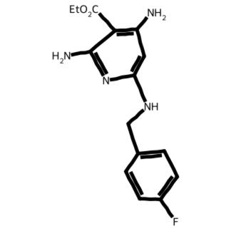 CCOC(=O)c1c(N)cc(NCc2ccc(F)cc2)nc1N